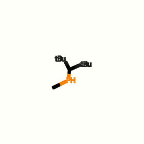 CPC(C(C)(C)C)C(C)(C)C